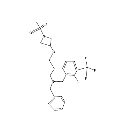 CS(=O)(=O)N1CC(OCCCN(Cc2ccccc2)Cc2cccc(C(F)(F)F)c2F)C1